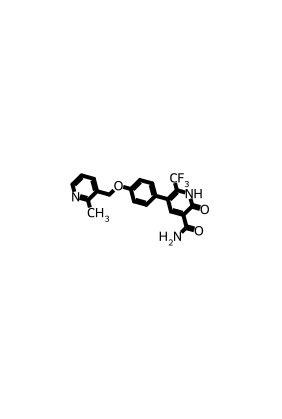 Cc1ncccc1COc1ccc(-c2cc(C(N)=O)c(=O)[nH]c2C(F)(F)F)cc1